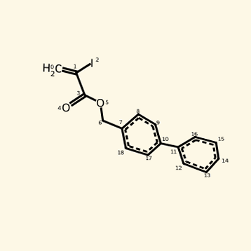 C=C(I)C(=O)OCc1ccc(-c2ccccc2)cc1